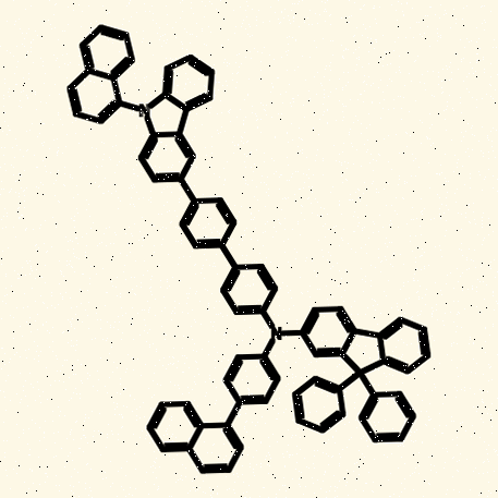 c1ccc(C2(c3ccccc3)c3ccccc3-c3ccc(N(c4ccc(-c5ccc(-c6ccc7c(c6)c6ccccc6n7-c6cccc7ccccc67)cc5)cc4)c4ccc(-c5cccc6ccccc56)cc4)cc32)cc1